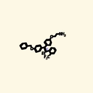 CC/C(=C(/c1ccc(OCCN)cc1)c1ccc(OCc2ccccc2)cc1)c1ccccc1C(F)(F)F